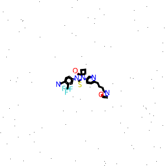 N#Cc1ccc(N2C(=O)C3(CCC3)N(c3ccc(CCCc4ncco4)nc3)C2=S)cc1C(F)(F)F